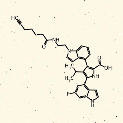 C#CCCCCC(=O)NCCn1ccc2c(-c3c(C(=O)O)[nH]c(-c4cc(F)cc5[nH]ccc45)c3C(C)C)cccc21